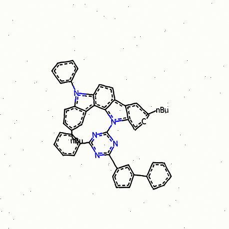 CCCCc1ccc2c(c1)c1c(ccc3c4cc(CCCC)ccc4n(-c4nc(-c5ccccc5)nc(-c5cccc(-c6ccccc6)c5)n4)c31)n2-c1ccccc1